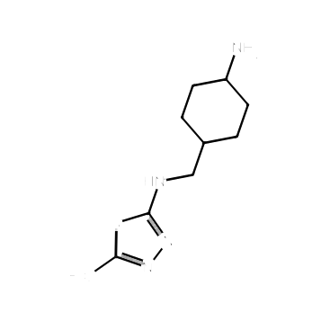 NC1CCC(CNc2nnc(C(F)(F)F)s2)CC1